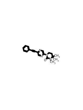 CN1C(=O)N(c2cnc(C#Cc3ccccc3)cn2)CCC1(C)C